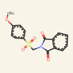 CCCCOc1ccc(S(=O)(=O)CN2C(=O)c3ccccc3C2=O)cc1